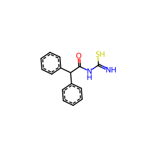 N=C(S)NC(=O)C(c1ccccc1)c1ccccc1